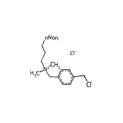 CCCCCCCCCCCC[N+](C)(C)Cc1ccc(CCl)cc1.[Cl-]